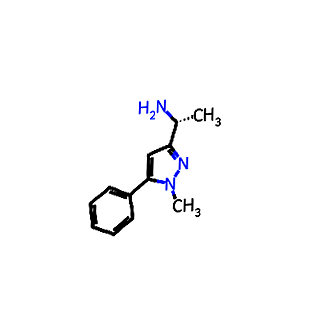 C[C@@H](N)c1cc(-c2ccccc2)n(C)n1